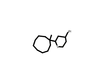 CC(C)C1CCSC(C2(C)CCCCCCCC2)C1